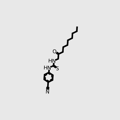 CCCCCCCCC(=O)CNC(=S)Nc1ccc(C#N)cc1